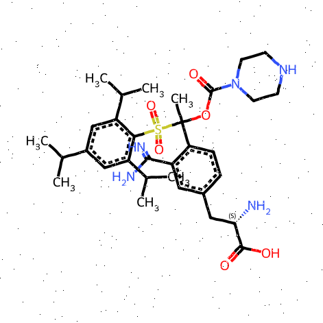 CC(C)c1cc(C(C)C)c(S(=O)(=O)C(C)(OC(=O)N2CCNCC2)c2ccc(C[C@H](N)C(=O)O)cc2C(=N)N)c(C(C)C)c1